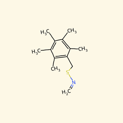 C=NSCc1c(C)c(C)c(C)c(C)c1C